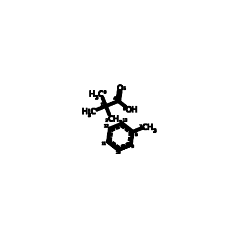 CC(C)(C)C(=O)O.Cc1ccccc1